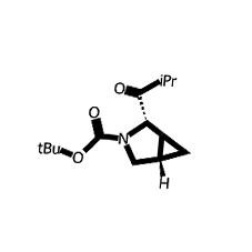 CC(C)C(=O)[C@@H]1C2C[C@@H]2CN1C(=O)OC(C)(C)C